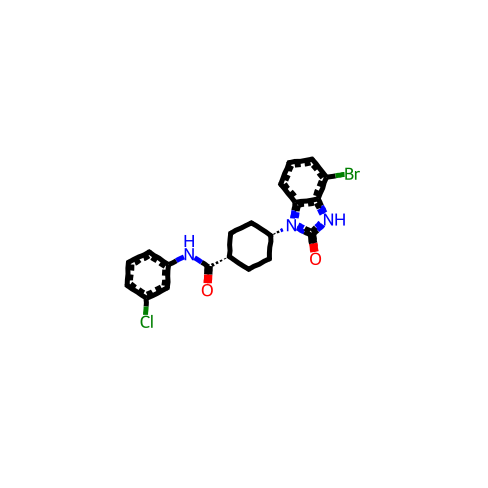 O=c1[nH]c2c(Br)cccc2n1[C@H]1CC[C@@H](C(=O)Nc2cccc(Cl)c2)CC1